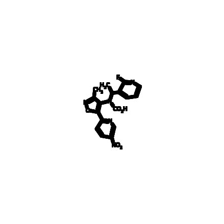 Cc1noc(-c2ccc([N+](=O)[O-])cn2)c1N(C(=O)O)C(C)c1cccnc1F